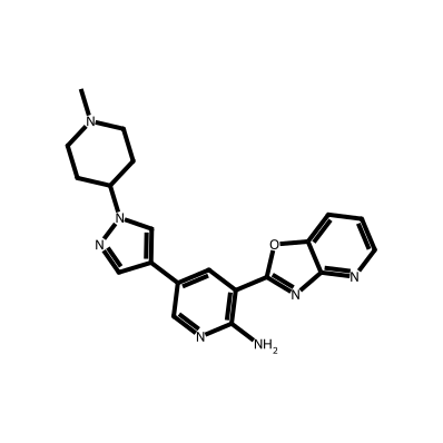 CN1CCC(n2cc(-c3cnc(N)c(-c4nc5ncccc5o4)c3)cn2)CC1